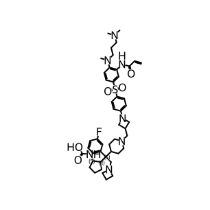 C=CC(=O)Nc1cc(S(=O)(=O)c2ccc(N3CC(CN4CCC([C@@](CN5CCC5)(c5cccc(F)c5)[C@H]5CCC[C@@H]5NC(=O)O)CC4)C3)cc2)ccc1N(C)CCCN(C)C